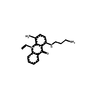 C=Cn1c2ccccc2c(=O)c2c(NCCCN)ccc(N)c21